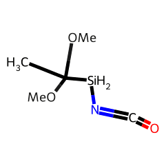 COC(C)(OC)[SiH2]N=C=O